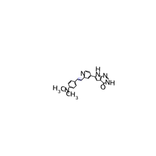 CN(C)c1ccc(/C=C/c2cc(-c3cc4c(=O)[nH]cnc4[nH]3)ccn2)cc1